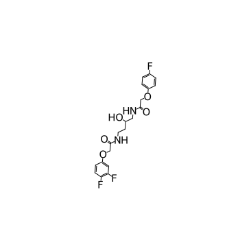 O=C(COc1ccc(F)c(F)c1)NCCC(O)CNC(=O)COc1ccc(F)cc1